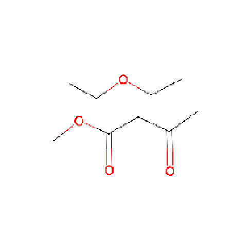 CCOCC.COC(=O)CC(C)=O